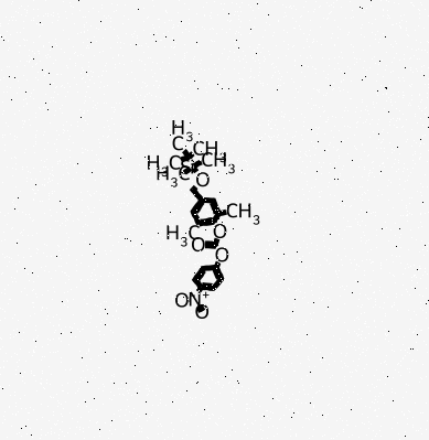 Cc1cc(CO[Si](C)(C)C(C)(C)C)cc(C)c1OC(=O)Oc1ccc([N+](=O)[O-])cc1